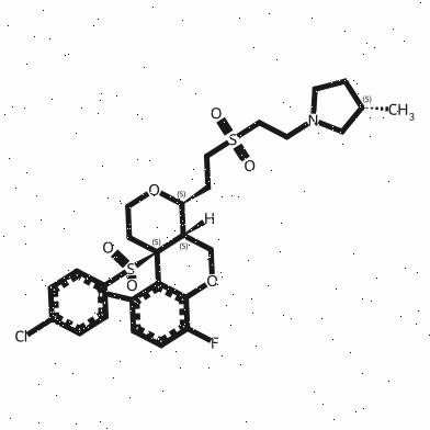 C[C@H]1CCN(CCS(=O)(=O)CC[C@@H]2OCC[C@@]3(S(=O)(=O)c4ccc(Cl)cc4)c4c(F)ccc(F)c4OC[C@@H]23)C1